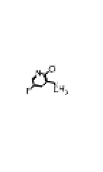 C[CH]c1cc(F)cnc1Cl